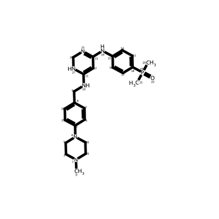 CN1CCN(c2ccc(CNC3=CC(Nc4ccc(P(C)(C)=O)cc4)=NCN3)cc2)CC1